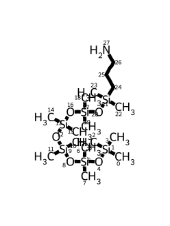 C[Si](C)(C)O[Si](C)(C)O[Si](C)(C)O[Si](C)(C)O[Si](C)(C)O[Si](C)(C)CCCN